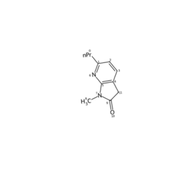 CCCc1ccc2c(n1)N(C)C(=O)C2